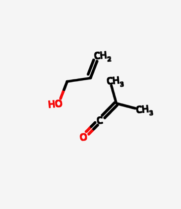 C=CCO.CC(C)=C=O